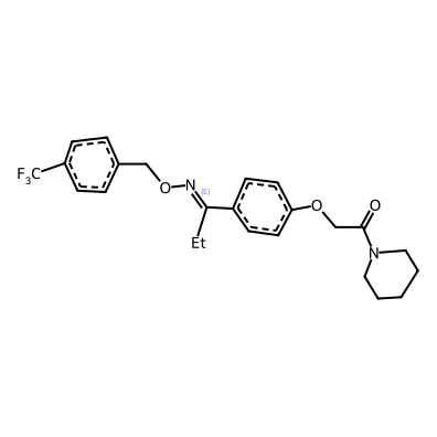 CC/C(=N\OCc1ccc(C(F)(F)F)cc1)c1ccc(OCC(=O)N2CCCCC2)cc1